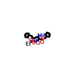 CCC(=O)On1c(C=Cc2ccccc2)cc(N)c(C(=O)OCc2ccccc2)c1=O